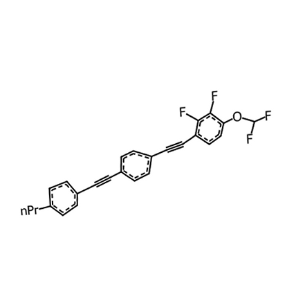 CCCc1ccc(C#Cc2ccc(C#Cc3ccc(OC(F)F)c(F)c3F)cc2)cc1